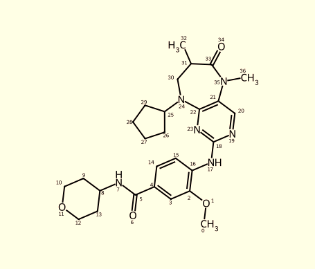 COc1cc(C(=O)NC2CCOCC2)ccc1Nc1ncc2c(n1)N(C1CCCC1)CC(C)C(=O)N2C